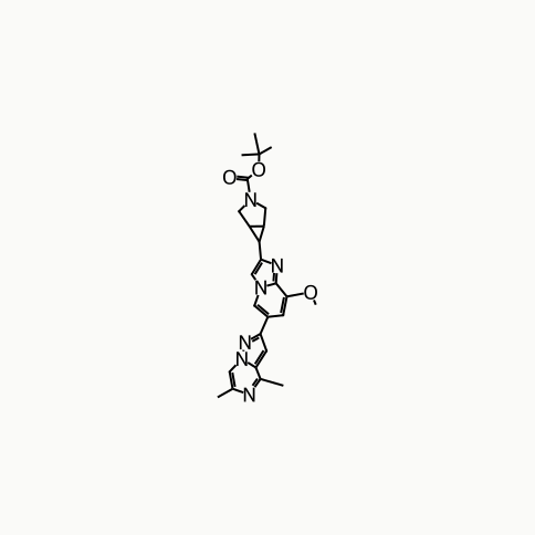 COc1cc(-c2cc3c(C)nc(C)cn3n2)cn2cc(C3C4CN(C(=O)OC(C)(C)C)CC43)nc12